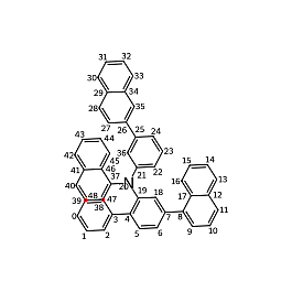 c1ccc(-c2ccc(-c3cccc4ccccc34)cc2N(c2cccc(-c3ccc4ccccc4c3)c2)c2cccc3ccccc23)cc1